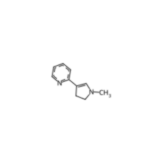 CN1C=C(c2ccccn2)CC1